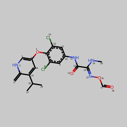 C=C1NC=C(Oc2c(Cl)cc(NC(=O)/C(=N/OC=O)NC)cc2Cl)C=C1C(C)C